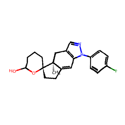 C[C@]12Cc3cnn(-c4ccc(F)cc4)c3C=C1CC[C@@]21CCCC(O)O1